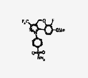 COc1ccc2c(c1F)OCc1c(C(F)(F)F)nn(-c3ccc(S(N)(=O)=O)cc3)c1-2